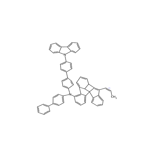 C/C=C\C1=C2C3C=CC=C4c5c(N(c6ccc(-c7ccccc7)cc6)c6ccc(-c7ccc(-n8c9ccccc9c9ccccc98)cc7)cc6)cccc5C2(c2ccccc21)C43